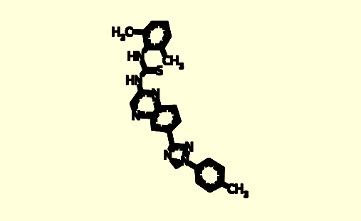 Cc1ccc(-n2cnc(-c3ccc4nc(NC(=S)Nc5c(C)cccc5C)cnc4c3)n2)cc1